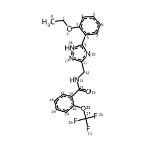 CCOc1ccccc1-c1nc(CNC(=O)c2ccccc2OC(F)(F)F)n[nH]1